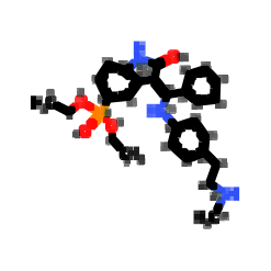 CCOP(=O)(OCC)c1ccc2c(c1)C(=C(Nc1ccc(CCNC)cc1)c1ccccc1)C(=O)N2